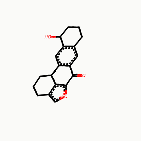 CC12CCCc3coc(c31)C(=O)c1cc3c(cc12)C(O)CCC3